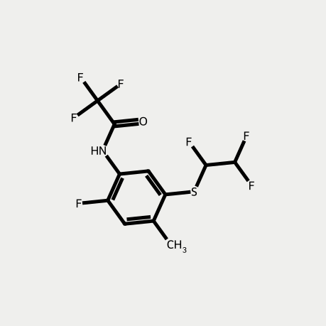 Cc1cc(F)c(NC(=O)C(F)(F)F)cc1SC(F)C(F)F